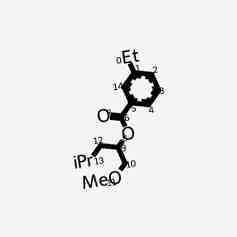 CCc1cccc(C(=O)OC(COC)CC(C)C)c1